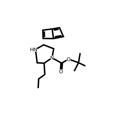 CCCC1CNCCN1C(=O)OC(C)(C)C.c1cc2ccc1-2